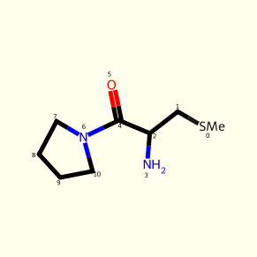 CSCC(N)C(=O)N1CCCC1